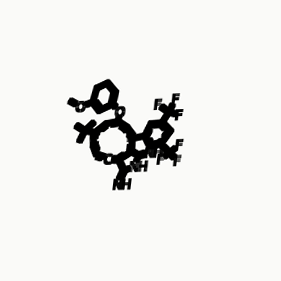 COC1=CC(Oc2cc(C(C)(C)C)cccc3c(c(-c4cc(C(F)(F)F)cc(C(F)(F)F)c4)c2)C(=N)NC3=N)=CCC1